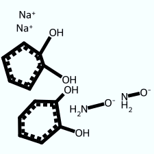 N[O-].N[O-].Oc1ccccc1O.Oc1ccccc1O.[Na+].[Na+]